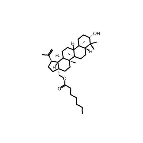 C=C(C)[C@@H]1CC[C@]2(COC(=O)CCCCCC)CC[C@]3(C)[C@H](CC[C@@H]4[C@@]5(C)CC[C@H](O)C(C)(C)[C@@H]5CC[C@]43C)[C@@H]12